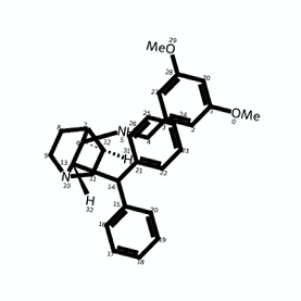 COc1cc(CN[C@@H]2C3CCN(CC3)[C@H]2C(c2ccccc2)c2ccccc2)cc(OC)c1